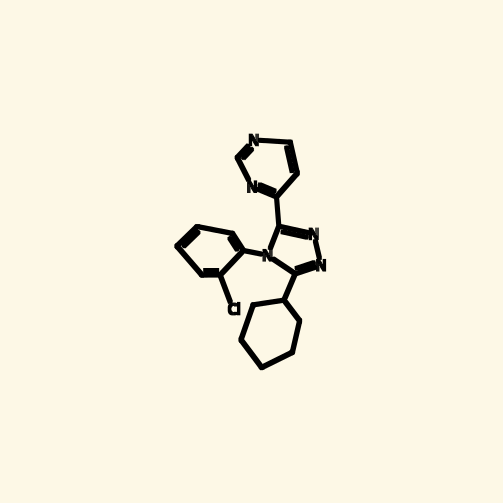 Clc1ccccc1-n1c(-c2ccncn2)nnc1C1CCCCC1